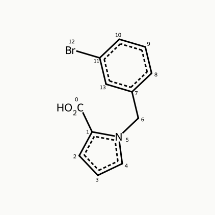 O=C(O)c1cccn1Cc1cccc(Br)c1